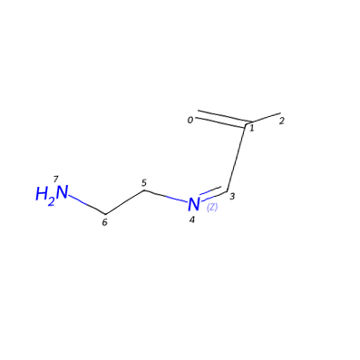 C=C(C)/C=N\CCN